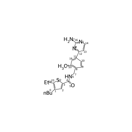 CCCCc1cc(C(=O)NCc2ccc(-c3ccnc(N)n3)cc2C)sc1CC